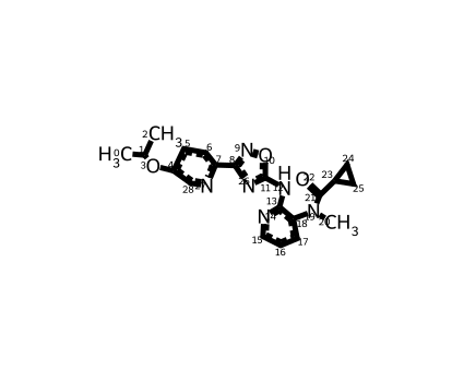 CC(C)Oc1ccc(-c2noc(Nc3ncccc3N(C)C(=O)C3CC3)n2)nc1